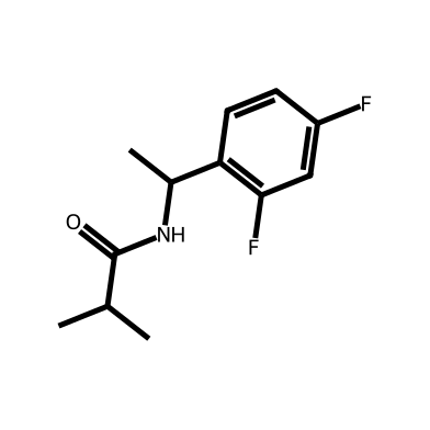 CC(C)C(=O)NC(C)c1ccc(F)cc1F